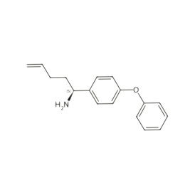 C=CCC[C@H](N)c1ccc(Oc2ccccc2)cc1